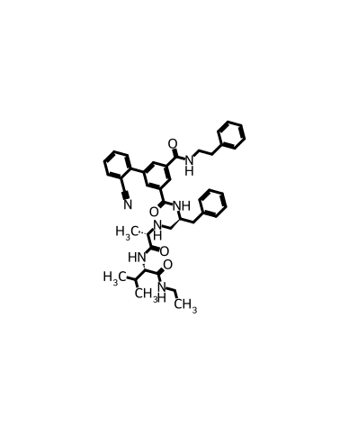 CCNC(=O)[C@@H](NC(=O)[C@H](C)NC[C@H](Cc1ccccc1)NC(=O)c1cc(C(=O)NCCc2ccccc2)cc(-c2ccccc2C#N)c1)C(C)C